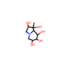 CC1(O)C(O)CN2CC(O)C(O)C(O)C21